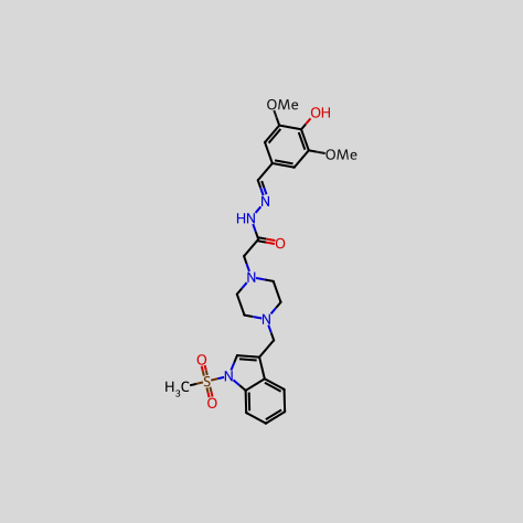 COc1cc(C=NNC(=O)CN2CCN(Cc3cn(S(C)(=O)=O)c4ccccc34)CC2)cc(OC)c1O